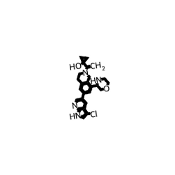 C=C(N1CCc2cc(-c3cnc4[nH]cc(Cl)c4c3)cc(C3COCCN3)c2C1)C1(O)CC1